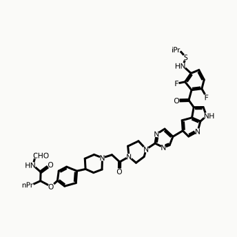 CCCC(Oc1ccc(C2CCN(CC(=O)N3CCN(c4ncc(-c5cnc6[nH]cc(C(=O)c7c(F)ccc(NSC(C)C)c7F)c6c5)cn4)CC3)CC2)cc1)C(=O)NC=O